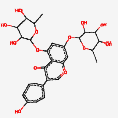 CC1OC(Oc2cc(OC3OC(C)C(O)C(O)C3O)c3c(=O)c(-c4ccc(O)cc4)coc3c2)C(O)C(O)C1O